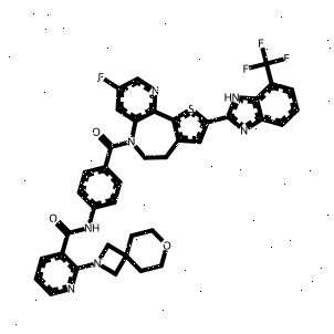 O=C(Nc1ccc(C(=O)N2CCc3cc(-c4nc5cccc(C(F)(F)F)c5[nH]4)sc3-c3ncc(F)cc32)cc1)c1cccnc1N1CC2(CCOCC2)C1